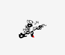 Cc1cccc(C)c1-c1cc(OCC(CC23CC(C2)C3)NCc2cnc3oc(C(C)(C)C)cc3n2)nc(NS(=O)(=O)c2cccc(C(=O)O)c2)n1